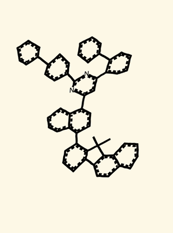 CC1(C)c2c(cccc2-c2ccc(-c3cc(-c4ccccc4-c4ccccc4)nc(-c4ccc(-c5ccccc5)cc4)n3)c3ccccc23)-c2ccc3ccccc3c21